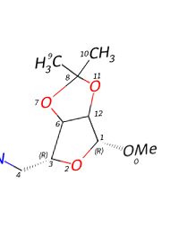 CO[C@@H]1O[C@H](CN)C2OC(C)(C)OC21